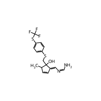 CC1C=C/C(=C\N=C/N)C1(O)CSc1ccc(SC(F)(F)F)cc1